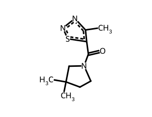 Cc1nnsc1C(=O)N1CCC(C)(C)C1